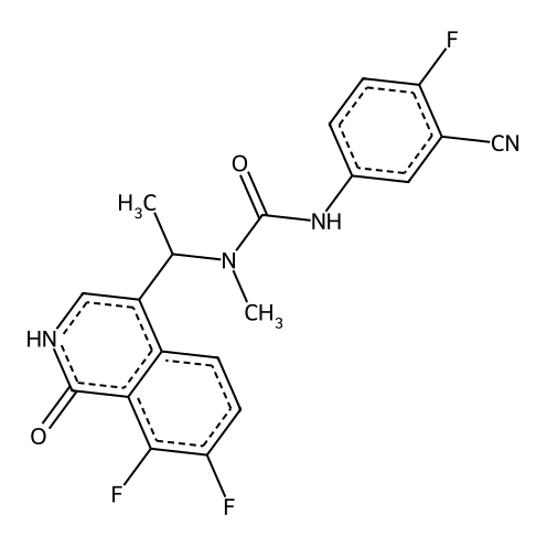 CC(c1c[nH]c(=O)c2c(F)c(F)ccc12)N(C)C(=O)Nc1ccc(F)c(C#N)c1